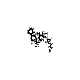 C=C(CC)N1[C@H](c2cnc(NC3CN(CCCF)C3)c(F)c2)c2[nH]c3ccccc3c2C[C@H]1C